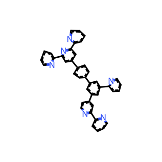 c1ccc(-c2cc(-c3ccc(-c4cc(-c5ccccn5)nc(-c5ccccn5)c4)cc3)cc(-c3ccnc(-c4ccccn4)c3)c2)nc1